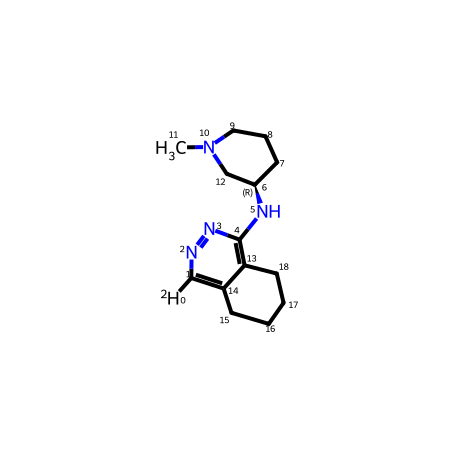 [2H]c1nnc(N[C@@H]2CCCN(C)C2)c2c1CCCC2